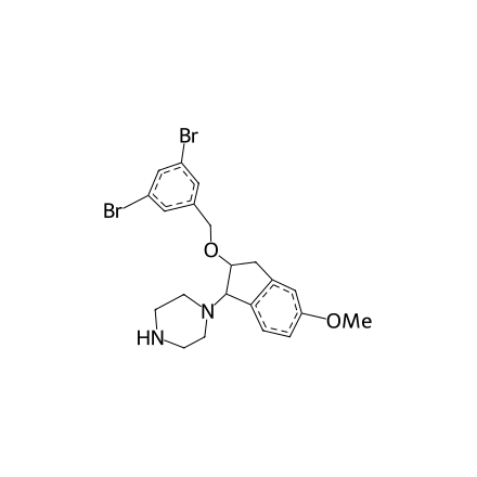 COc1ccc2c(c1)CC(OCc1cc(Br)cc(Br)c1)C2N1CCNCC1